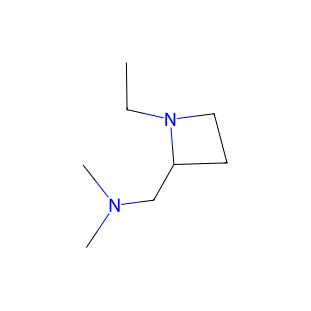 CCN1CCC1CN(C)C